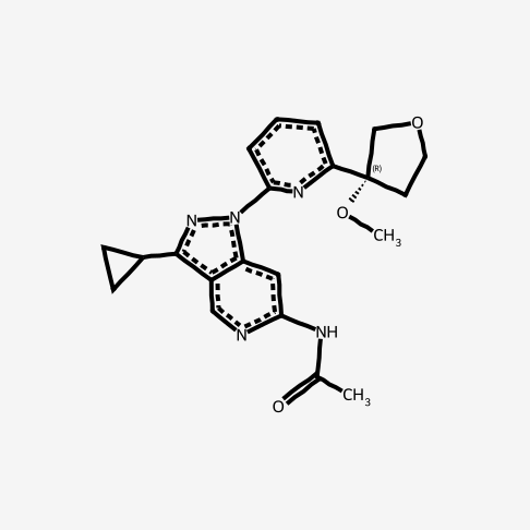 CO[C@@]1(c2cccc(-n3nc(C4CC4)c4cnc(NC(C)=O)cc43)n2)CCOC1